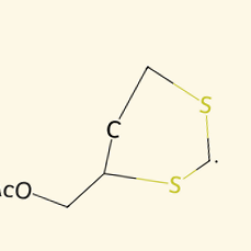 CC(=O)OCC1CCS[CH]S1